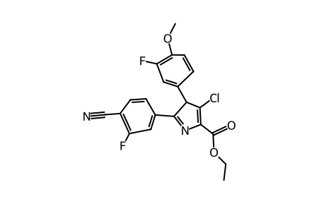 CCOC(=O)C1=C(Cl)C(c2ccc(OC)c(F)c2)C(c2ccc(C#N)c(F)c2)=N1